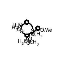 COc1cccc([C@@H](C)N2CCCc3cccc(c3)CC(C)(N)C(=O)OCc3cc(cc(N(C)S(C)(=O)=O)c3)C2=O)c1